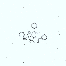 C[C@H]1OC(O)(C(=O)c2ccccc2)[C@H](OC(=O)c2ccccc2)[C@@H]1OC(=O)c1ccccc1